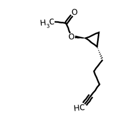 C#CCCC[C@H]1C[C@@H]1OC(C)=O